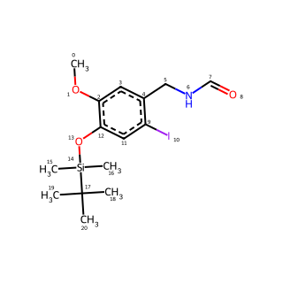 COc1cc(CNC=O)c(I)cc1O[Si](C)(C)C(C)(C)C